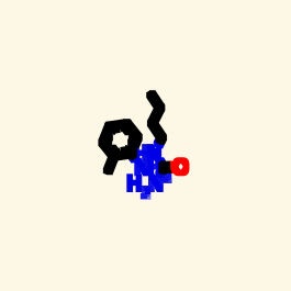 CCCCNC(N)=O.Cc1ccccc1N